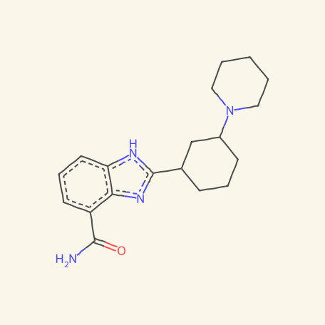 NC(=O)c1cccc2[nH]c(C3CCCC(N4CCCCC4)C3)nc12